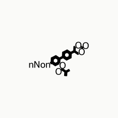 C=C(C)C(=O)Oc1cc(CCCCCCCCC)ccc1-c1ccc(C2COC(=O)OC2)cc1